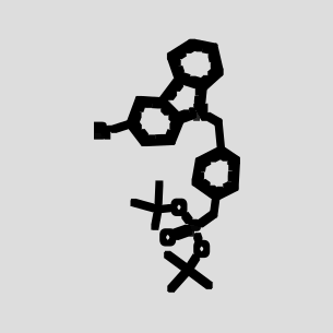 CC(C)(C)OP(=O)(Cc1ccc(Cn2c3ccccc3c3cc(Br)ccc32)cc1)OC(C)(C)C